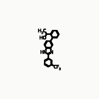 CC(O)c1ccccc1-c1ccc2[nH]c(-c3cccc(C(F)(F)F)c3)nc2c1